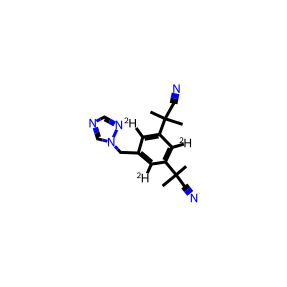 [2H]c1c(Cn2cncn2)c([2H])c(C(C)(C)C#N)c([2H])c1C(C)(C)C#N